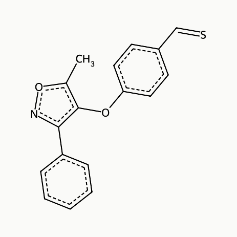 Cc1onc(-c2ccccc2)c1Oc1ccc(C=S)cc1